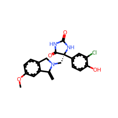 C=C1c2cc(OC)ccc2CN1C[C@@]1(c2ccc(O)c(Cl)c2)NC(=O)NC1=O